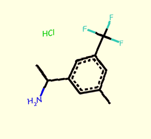 Cc1cc(C(C)N)cc(C(F)(F)F)c1.Cl